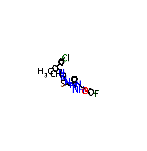 CC1(C)CCC(c2ccc(Cl)cc2)C(CN2CCN(c3nc(Cn4c(=N)n(CCCOC5=CCC(F)C=C5)c5ccccc54)cs3)CC2)C1